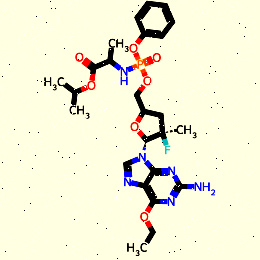 CCOc1nc(N)nc2c1ncn2[C@@H]1OC(COP(=O)(NC(C)C(=O)OC(C)C)Oc2ccccc2)C[C@@]1(C)F